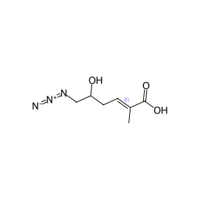 C/C(=C\CC(O)CN=[N+]=[N-])C(=O)O